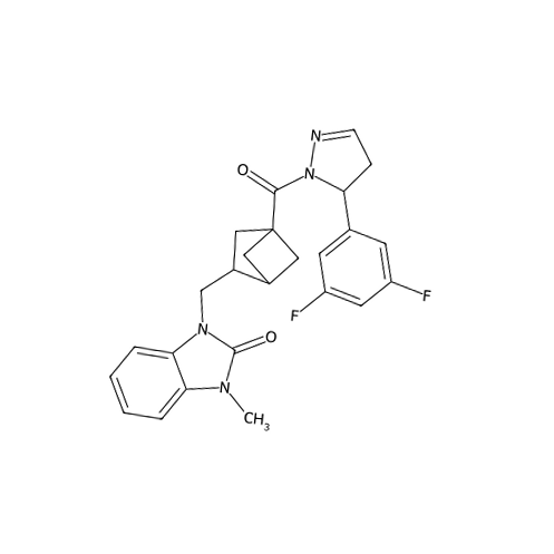 Cn1c(=O)n(CC2CC3(C(=O)N4N=CCC4c4cc(F)cc(F)c4)CC2C3)c2ccccc21